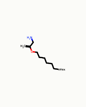 C=C(CN)OCCCCCCCCCCCC